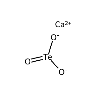 O=[Te]([O-])[O-].[Ca+2]